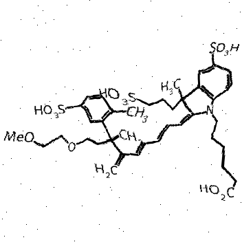 C=C(/C=C/C=C/C=C1/N(CCCCCC(=O)O)c2ccc(S(=O)(=O)O)cc2C1(C)CCCS(=O)(=O)O)C(C)(CCOCCOC)c1cc(S(=O)(=O)O)ccc1C